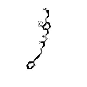 C#CCOc1ccc(CNNC(=O)COCC#Cc2ccccc2)cc1OC